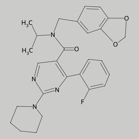 CC(C)N(Cc1ccc2c(c1)OCO2)C(=O)c1cnc(N2CCCCC2)nc1-c1ccccc1F